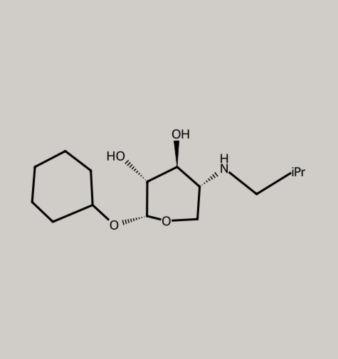 CC(C)CN[C@@H]1CO[C@H](OC2CCCCC2)[C@H](O)[C@H]1O